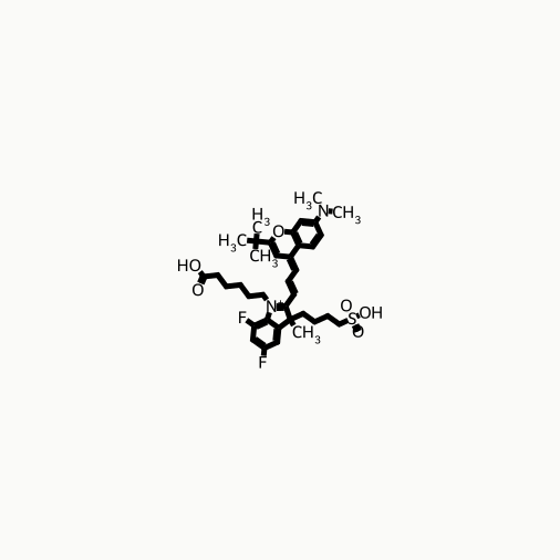 CN(C)c1ccc2c(c1)OC(C(C)(C)C)=C/C2=C\C=C\C1=[N+](CCCCCC(=O)O)c2c(F)cc(F)cc2C1(C)CCCCS(=O)(=O)O